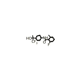 Cc1cccc(F)c1C(=O)Nc1ccc(C(C)(O)C(F)(F)F)cc1